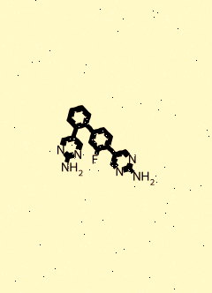 Nc1ncc(-c2ccc(-c3ccccc3-c3cnc(N)nc3)cc2F)cn1